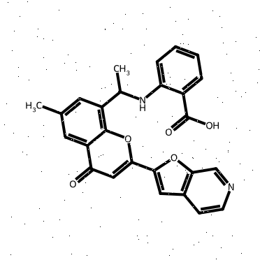 Cc1cc(C(C)Nc2ccccc2C(=O)O)c2oc(-c3cc4ccncc4o3)cc(=O)c2c1